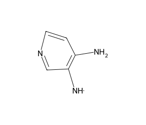 [NH]c1cnccc1N